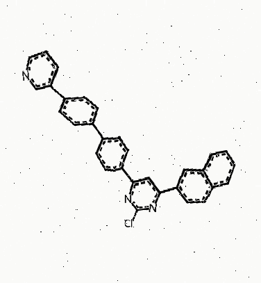 Clc1nc(-c2ccc(-c3ccc(-c4cccnc4)cc3)cc2)cc(-c2ccc3ccccc3c2)n1